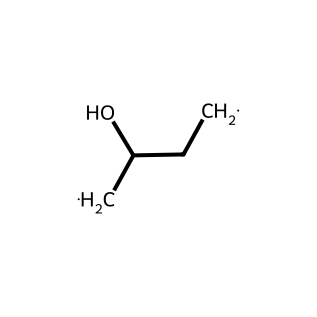 [CH2]CC([CH2])O